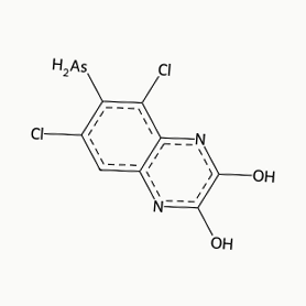 Oc1nc2cc(Cl)c([AsH2])c(Cl)c2nc1O